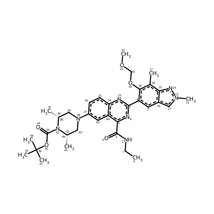 CCNC(=O)c1nc(-c2cc3cn(C)nc3c(C)c2OCOC)nc2ccc(N3C[C@@H](C)N(C(=O)OC(C)(C)C)[C@@H](C)C3)cc12